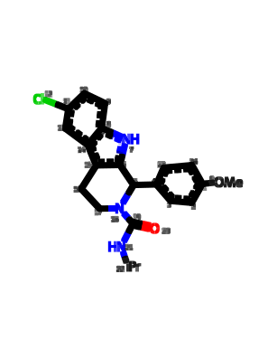 COc1ccc(C2c3[nH]c4ccc(Cl)cc4c3CCN2C(=O)NC(C)C)cc1